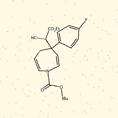 CCOC(=O)C(C#N)C1(c2ccc(F)cc2)C=CN(C(=O)OC(C)(C)C)C=CC1